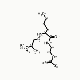 CSCCC(NOCC(C)C)C(=O)NCCOC(=S)[S-].[K+]